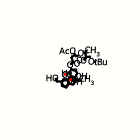 CC(=O)O[C@@H](CC(=O)OC1=CC[C@@]2(O)[C@H]3Cc4ccc(CO)c5c4[C@@]2(CCN3C)[C@H]1O5)C(=O)O[C@@H](C)C(=O)COC(C)(C)C